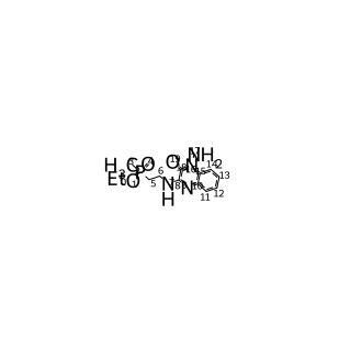 CCOP(C)(=O)CCNc1nc2ccccc2n(N)c1=O